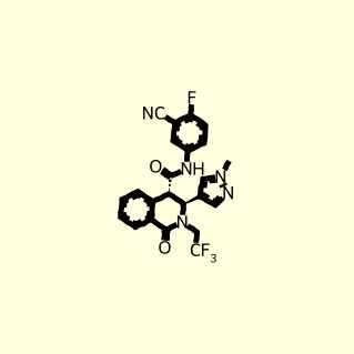 Cn1cc([C@@H]2[C@@H](C(=O)Nc3ccc(F)c(C#N)c3)c3ccccc3C(=O)N2CC(F)(F)F)cn1